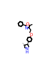 Cc1oc(-c2ccccc2)nc1CCOc1ccc([C@H]2CNC[C@@H]2C)cc1